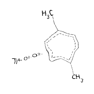 Cc1ccc(C)cc1.[O-2].[O-2].[Ti+4]